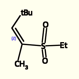 CCS(=O)(=O)/C(C)=C\C(C)(C)C